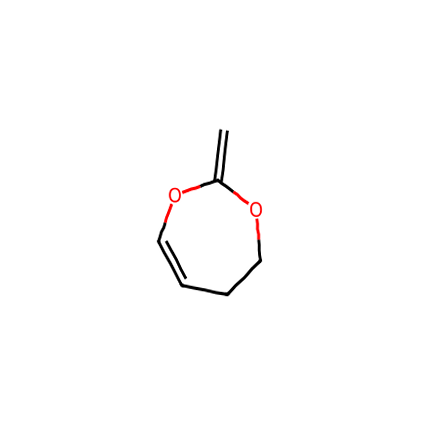 C=C1OC=CCCO1